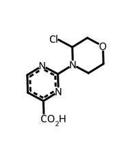 O=C(O)c1ccnc(N2CCOCC2Cl)n1